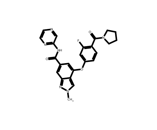 Cn1cc2c(Oc3ccc(C(=O)N4CCCC4)c(F)c3)cc(C(=O)Nc3cnccn3)cc2n1